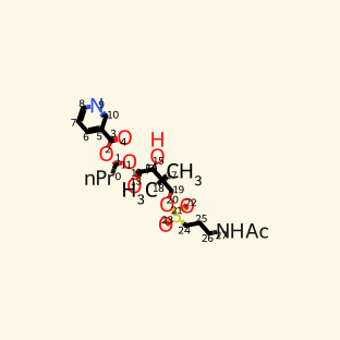 CCCC(OC(=O)c1cccnc1)OC(=O)[C@H](O)C(C)(C)COS(=O)(=O)CCCNC(C)=O